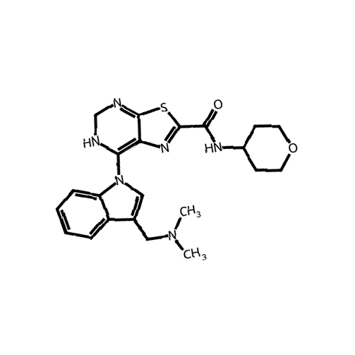 CN(C)Cc1cn(C2=c3nc(C(=O)NC4CCOCC4)sc3=NCN2)c2ccccc12